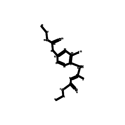 CCOC(=O)C=C(C)Nc1ccc(CC(=O)OCC)cc1I